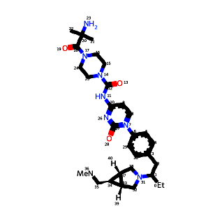 CCC(Cc1ccc(-n2ccc(NC(=O)N3CCN(C(=O)C(C)(C)N)CC3)nc2=O)cc1)N1C[C@@H]2[C@@H](CNC)[C@@H]2C1